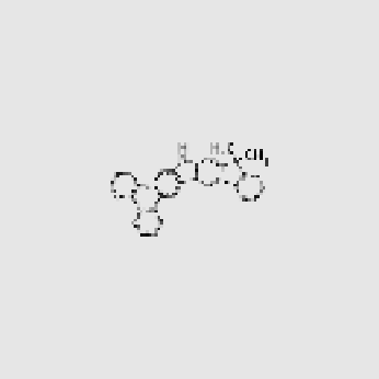 CC1(C)C2=CC3Nc4cc5c6ccccc6c6ccccc6c5cc4C3C=C2c2ccccc21